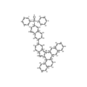 O=P(c1ccccc1)(c1ccccc1)c1cnc2cc(-c3ccc4nc5c6c7ccccc7ccc6c6cc7ccccc7cc6n5c4c3)ccc2c1